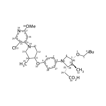 CCC(C)CO[C@H]1CN(c2ccc(OC3CCN(c4cc(OC)ncc4Cl)CC3C)cc2)[C@@H](CC(=O)O)[C@@H]1C